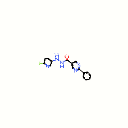 O=C(NNc1ccc(F)nc1)c1cnc(-c2ccccc2)nc1